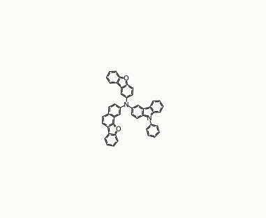 c1ccc(-n2c3ccccc3c3cc(N(c4ccc5oc6ccccc6c5c4)c4ccc5ccc6c7ccccc7oc6c5c4)ccc32)cc1